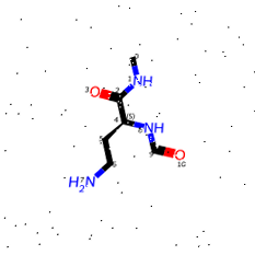 CNC(=O)[C@H](CCN)NC=O